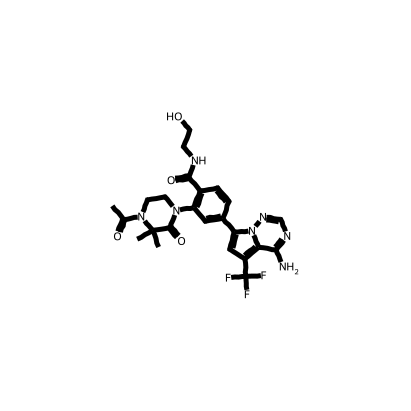 CC(=O)N1CCN(c2cc(-c3cc(C(F)(F)F)c4c(N)ncnn34)ccc2C(=O)NCCO)C(=O)C1(C)C